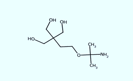 CC(C)(N)OCCC(CO)(CO)CO